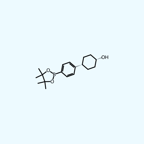 CC1(C)OB(c2ccc([C@H]3CC[C@@H](O)CC3)cc2)OC1(C)C